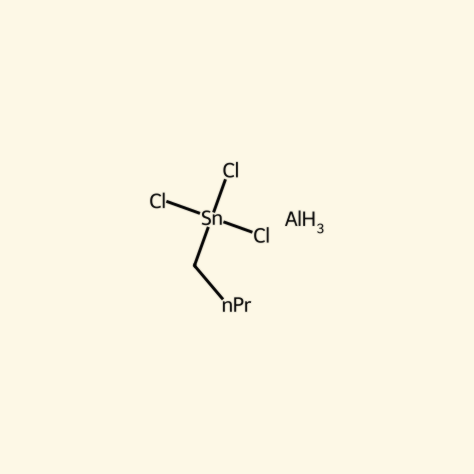 CCC[CH2][Sn]([Cl])([Cl])[Cl].[AlH3]